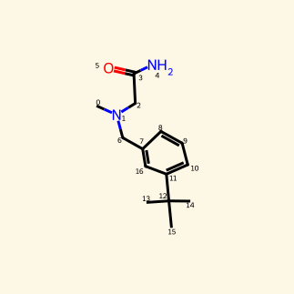 CN(CC(N)=O)Cc1cccc(C(C)(C)C)c1